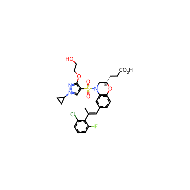 CC(=Cc1ccc2c(c1)N(S(=O)(=O)c1cn(C3CC3)nc1OCCO)C[C@H](CCC(=O)O)O2)c1c(F)cccc1Cl